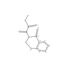 CCC(=O)C(=O)C1CSc2ccccc2C1=O